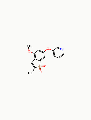 COc1cc(Oc2cccnc2)cc2c1C=C(C)S2(=O)=O